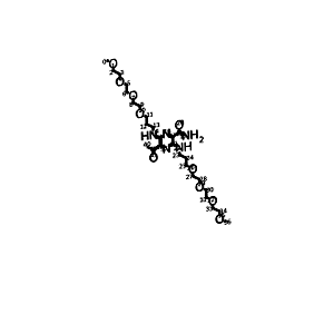 COCCOCCOCCOCCCNc1nc(C(N)=O)c(NCCCOCCOCCOCCOC)nc1C(C)=O